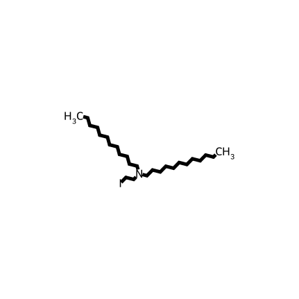 CCCCCCCCCCCCN(CCI)CCCCCCCCCCCC